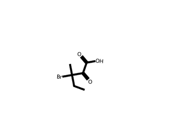 CCC(C)(Br)C(=O)C(=O)O